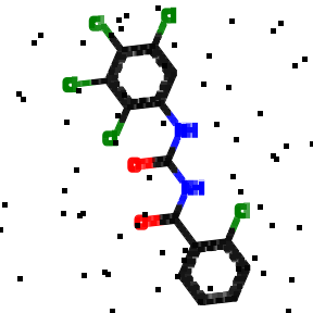 O=C(NC(=O)c1ccccc1Cl)Nc1cc(Cl)c(Cl)c(Cl)c1Cl